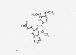 COc1ccc(CCc2c(/C=C/[N+](=O)[O-])ccc(OC)c2OC)cc1OC